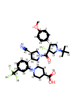 COc1ccc([C@@H]2CN(C(C)(C)C)C[C@@]2(F)C(=O)N2C[C@H](c3ccc(C(F)(F)F)cc3N3CCC(C(=O)O)CC3)[C@@H](C#N)C2)cc1